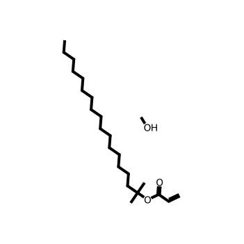 C=CC(=O)OC(C)(C)CCCCCCCCCCCCCCCC.CO